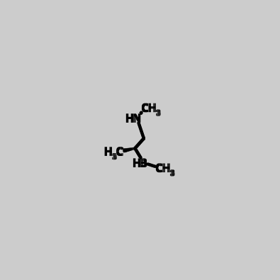 CB[C@@H](C)CNC